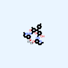 CCOc1cc(NCc2c3oc4c(CNc5cc(OCC)cc6ccc(C)nc56)c(O)ccc4c(-c4ccc(C)cc4)c-3cc(C)c2=O)c2nc(C)ccc2c1